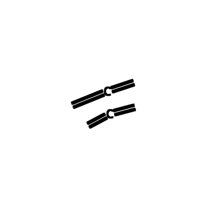 C=C=C.C=C=C